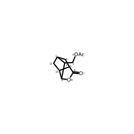 CC(=O)OCC1C2CC3C(=O)OC1C3C2